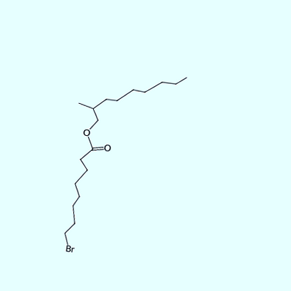 CCCCCCCC(C)COC(=O)CCCCCCCBr